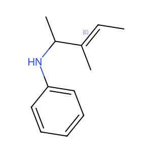 C/C=C(\C)C(C)Nc1ccccc1